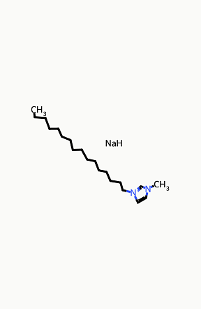 CCCCCCCCCCCCCCCC[n+]1ccn(C)c1.[NaH]